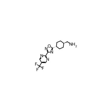 NC[C@H]1CC[C@H](c2nc(-c3ncc(C(F)(F)F)cn3)no2)CC1